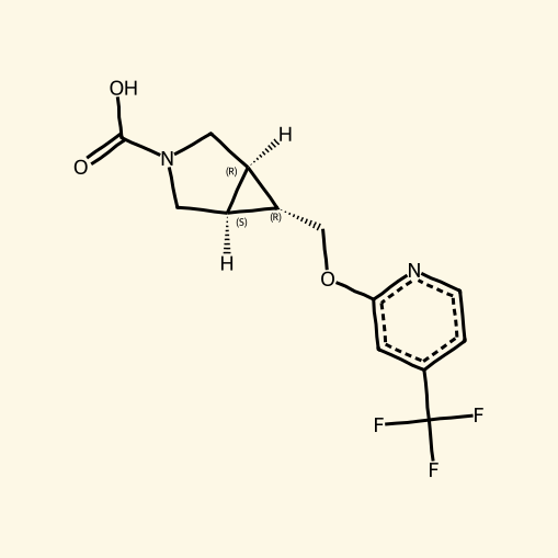 O=C(O)N1C[C@@H]2[C@@H](COc3cc(C(F)(F)F)ccn3)[C@@H]2C1